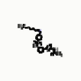 CCCCCC/C=C\c1ccc(S(=O)(=O)Nc2cccc(-c3csc(NC(C)=O)n3)c2)cc1